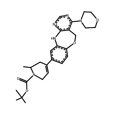 CC1CC(c2ccc3c(c2)Nc2ncnc(N4CCOCC4)c2CO3)=CCN1C(=O)OC(C)(C)C